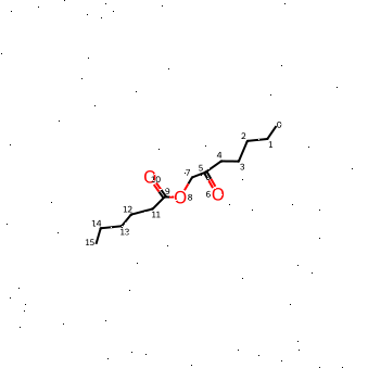 CCCCCC(=O)COC(=O)CCCCC